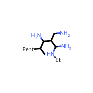 CCCC(C)C(C)C(N)C(CN)C(N)NCC